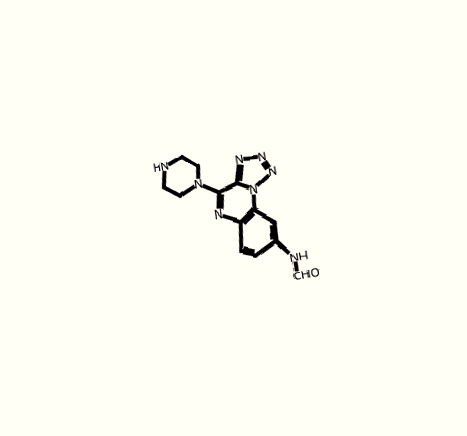 O=CNc1ccc2nc(N3CCNCC3)c3nnnn3c2c1